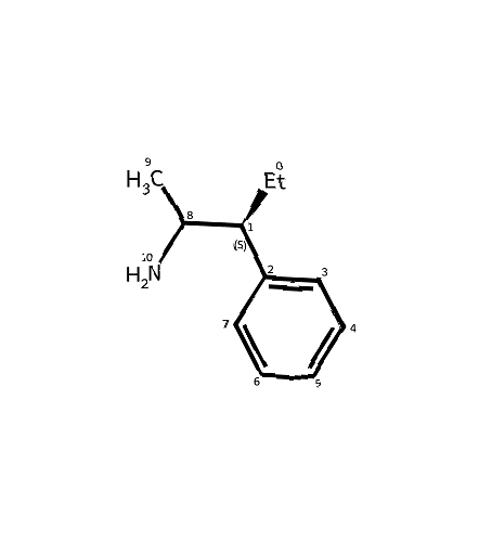 CC[C@@H](c1ccccc1)C(C)N